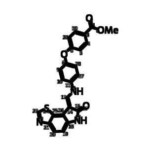 COC(=O)c1ccc(Oc2ccc(N/C=C3\C(=O)Nc4ccc5ncsc5c43)cc2)cc1